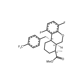 COC(=O)[C@@]1(C)CCC[C@@]2(Cc3ccc(C(F)(F)F)cc3)c3c(F)ccc(F)c3OC[C@H]21